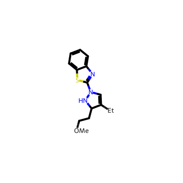 CCC1=CN(c2nc3ccccc3s2)NC1CCOC